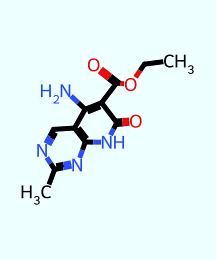 CCOC(=O)c1c(N)c2cnc(C)nc2[nH]c1=O